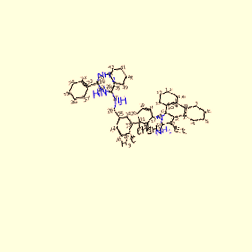 CCC1C2C3CCCCC3C3=C(CCCC3)C2N(C2C=CCC(C)(C3C[C@H](CNC(NC(N)C4=CCCCC4)C4CCCCC4)CC[C@H]3C)C2C)C1N